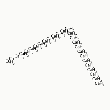 [CaH2].[CaH2].[CaH2].[CaH2].[CaH2].[CaH2].[CaH2].[CaH2].[CaH2].[CaH2].[CaH2].[CaH2].[CaH2].[CaH2].[CaH2].[CaH2].[CaH2].[CaH2].[CaH2].[CaH2].[CaH2].[CaH2].[CaH2].[CaH2].[CaH2].[Cu]